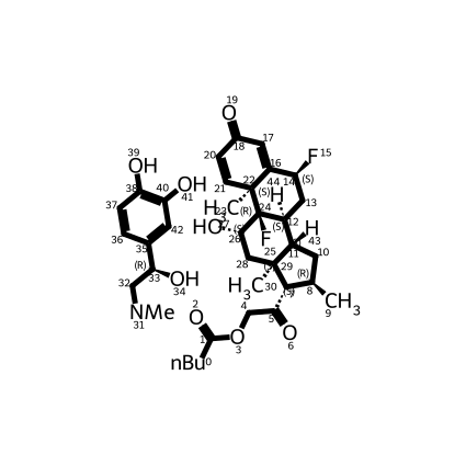 CCCCC(=O)OCC(=O)[C@H]1[C@H](C)C[C@H]2[C@@H]3C[C@H](F)C4=CC(=O)C=C[C@]4(C)[C@@]3(F)[C@@H](O)C[C@@]21C.CNC[C@H](O)c1ccc(O)c(O)c1